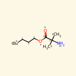 CC(C)(C)CCCOC(=O)C(C)(C)N